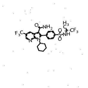 C[C@@H](NS(=O)(=O)c1ccc(-c2c(C(N)=O)c3cc(C(F)(F)F)cnc3n2C2CCCCC2)cc1)C(F)(F)F